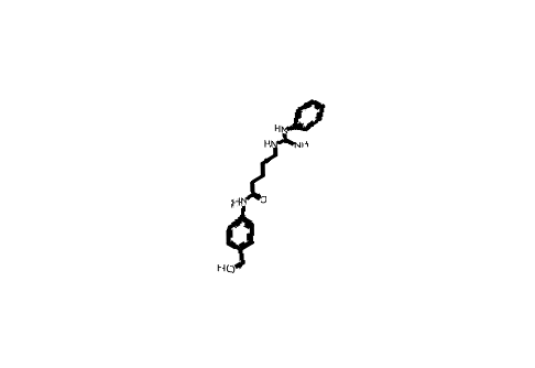 N=C(NCCCCC(=O)Nc1ccc(CO)cc1)Nc1ccccc1